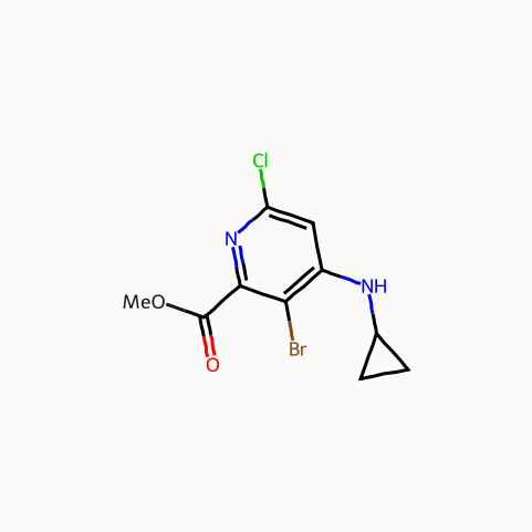 COC(=O)c1nc(Cl)cc(NC2CC2)c1Br